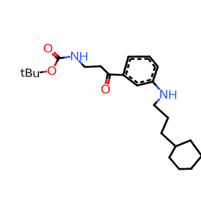 CC(C)(C)OC(=O)NCCC(=O)c1cccc(NCCCC2CCCCC2)c1